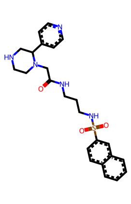 O=C(CN1CCNCC1c1ccncc1)NCCCNS(=O)(=O)c1ccc2ccccc2c1